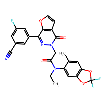 CCN(C(=O)Cn1nc(-c2cc(F)cc(C#N)c2)c2occc2c1=O)c1cc2c(cc1C)OC(F)(F)O2